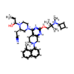 C=CC(O)N1CCN(c2nc(OCC(C)(C)N(C)C3CCC3)nc3c2CCN(c2cccc4cccc(C)c24)C3)C[C@H]1CC#N